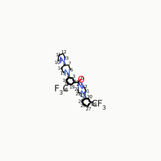 O=C(c1cc(N2CCC(N3CCCC3)CC2)cc(C(F)(F)F)c1)N1CCN(c2cccc(C(F)(F)F)c2)CC1